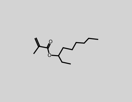 C=C(C)C(=O)OC(CC)CCCCCC